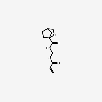 C=CC(=O)OCNC(=O)C12CCC(CO1)C2